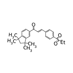 CCS(=O)(=O)c1ccc(C=CC(=O)c2ccc3c(c2)C(C)(C)CC3(C)C)cc1